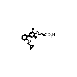 O=C(O)CCCOc1c(F)cc(-c2ccccc2OCC2CC2)cc1F